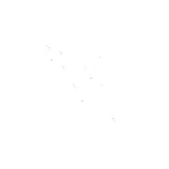 Cc1cnc(Cl)nc1-c1ccc(N(Cc2cccc(OCCN3CCCC3)c2)C(=O)c2ccc(O)cc2O)cc1